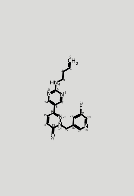 C=CCCNc1ncc(-c2ccc(=O)n(Cc3cncc(F)c3)n2)cn1